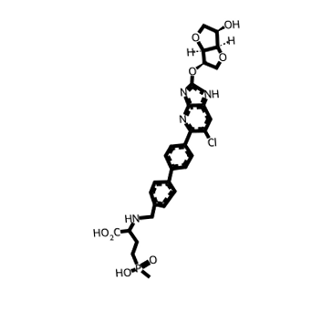 CP(=O)(O)CCC(NCc1ccc(-c2ccc(-c3nc4nc(O[C@@H]5CO[C@H]6[C@@H]5OC[C@H]6O)[nH]c4cc3Cl)cc2)cc1)C(=O)O